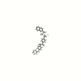 C[C@H]1[C@@H](C(=O)Nc2ccc3cnccc3c2)[C@@H]1c1ccc(C(=O)Nc2ccc(CN3CCOCC3)cc2)cc1